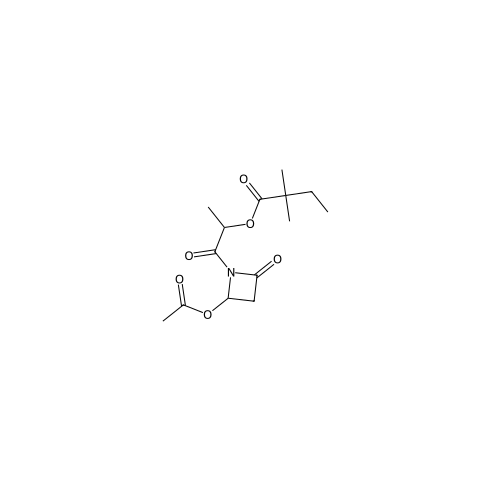 CCC(C)(C)C(=O)OC(C)C(=O)N1C(=O)CC1OC(C)=O